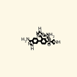 Nc1n[nH]c2cc(-c3ccc(S(=O)(=O)C4CNC4)c(S(N)(=O)=O)c3-c3nn[nH]n3)ccc12